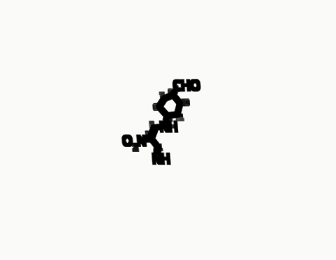 N=C/C(=C\NC1CCC(C=O)CC1)[N+](=O)[O-]